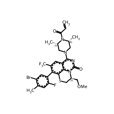 C=CC(=O)N1[C@H](C)CN(c2nc(=O)n3c4c(c(-c5cc(Br)c(C)cc5F)c(C(F)(F)F)cc24)SC[C@@H]3COC)C[C@@H]1C